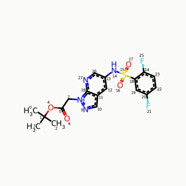 CC(C)(C)OC(=O)Cn1ncc2cc(NS(=O)(=O)c3cc(F)ccc3F)cnc21